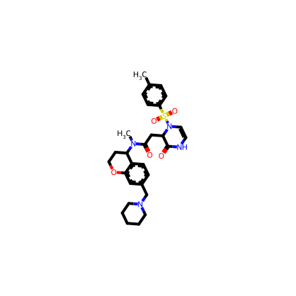 Cc1ccc(S(=O)(=O)N2C=CNC(=O)C2CC(=O)N(C)C2CCOc3cc(CN4CCCCC4)ccc32)cc1